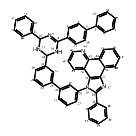 c1ccc(-c2ccc(C3=NC(c4ccccc4)NC(c4cccc(-c5cccc(-n6c(-c7ccccc7)nc7c8ccccc8c8ncccc8c76)c5)c4)N3)cc2)cc1